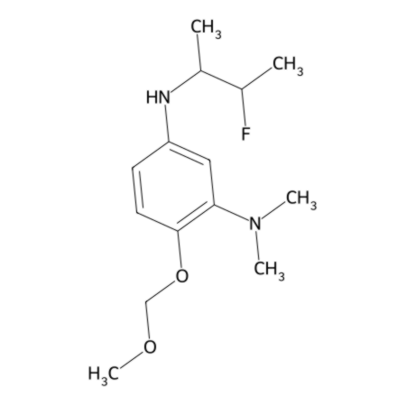 COCOc1ccc(NC(C)C(C)F)cc1N(C)C